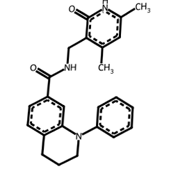 Cc1cc(C)c(CNC(=O)c2ccc3c(c2)N(c2ccccc2)CCC3)c(=O)[nH]1